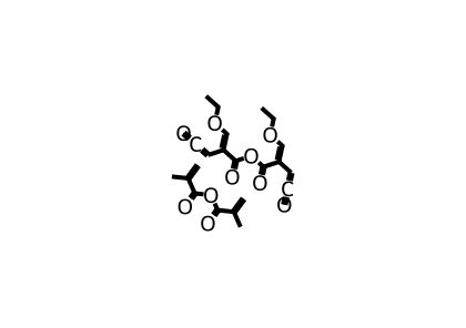 C=C(C)C(=O)OC(=O)C(=C)C.CCOC=C(C=C=O)C(=O)OC(=O)C(C=C=O)=COCC